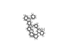 C1=C(c2ccccc2)c2ccccc2NC1c1cccc(-n2c3cc4c(cc3c3ccc5c6ccccc6sc5c32)c2ccccc2n4-c2ccccc2)c1